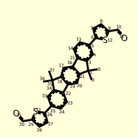 CC1(C)c2cc(-c3ccc(C=O)s3)ccc2-c2cc3c(cc21)-c1ccc(-c2ccc(C=O)s2)cc1C3(C)C